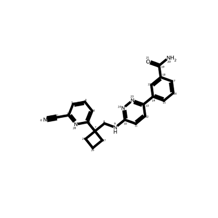 N#Cc1cccc(C2(CNc3ccc(-c4cccc(C(N)=O)c4)nn3)CCC2)n1